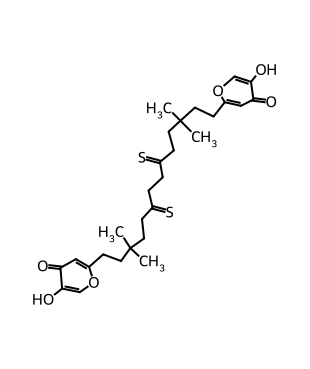 CC(C)(CCC(=S)CCC(=S)CCC(C)(C)CCc1cc(=O)c(O)co1)CCc1cc(=O)c(O)co1